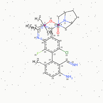 Cc1nc(N2CC3CCC(C2)N3C(=O)OC(C)(C)C)c2cc(Cl)c(-c3c(C)ccc(N)c3C=N)c(F)c2n1